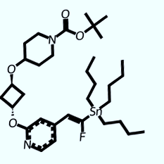 CCC[CH2][Sn]([CH2]CCC)([CH2]CCC)[C](F)=Cc1ccnc(O[C@H]2C[C@H](OC3CCN(C(=O)OC(C)(C)C)CC3)C2)c1